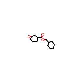 O=C(OCC1CCCCC1)C1CCC2OC2C1